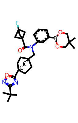 CC1(C)COB(c2cccc(N(CC34CCC(c5nc(C(C)(C)C)no5)(CC3)CC4)C(=O)C34CC(F)(C3)C4)c2)OC1